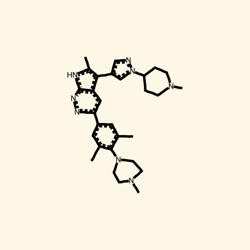 Cc1cc(-c2cc3c(-c4cnn(C5CCN(C)CC5)c4)c(C)[nH]c3nn2)cc(C)c1N1CCN(C)CC1